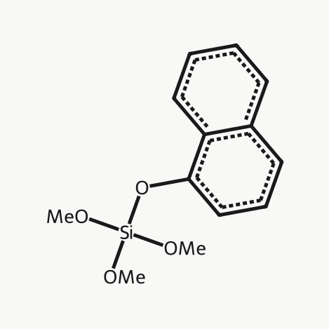 CO[Si](OC)(OC)Oc1cccc2ccccc12